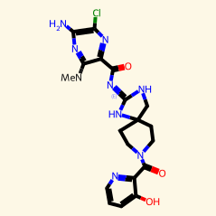 CNc1nc(N)c(Cl)nc1C(=O)/N=C1\NCC2(CCN(C(=O)c3ncccc3O)CC2)N1